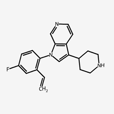 C=Cc1cc(F)ccc1-n1cc(C2CCNCC2)c2ccncc21